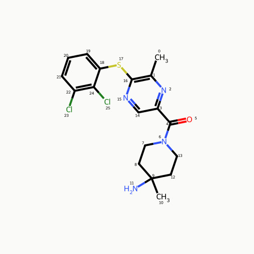 Cc1nc(C(=O)N2CCC(C)(N)CC2)cnc1Sc1cccc(Cl)c1Cl